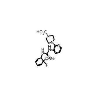 COC1(F)C=CC=CC1NC(=O)Nc1cccnc1N1CCN(C(=O)O)CC1